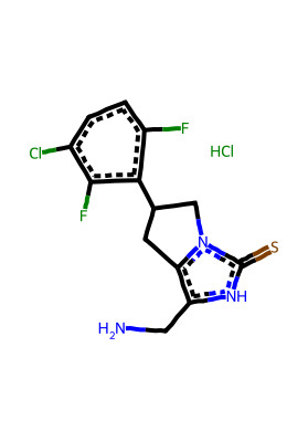 Cl.NCc1[nH]c(=S)n2c1CC(c1c(F)ccc(Cl)c1F)C2